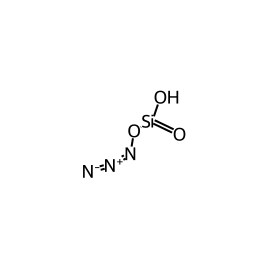 [N-]=[N+]=NO[Si](=O)O